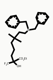 CCOC(=O)C(O)(CCCC(C)(C)CCN(Cc1ccccc1)Cc1ccccc1)C(F)(F)F